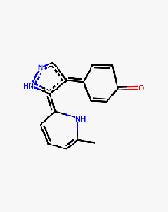 CC1=CC=CC(=c2[nH]ncc2=C2C=CC(=O)C=C2)N1